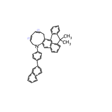 CC1(C)c2ccccc2-c2c3c(cc4cccc1c24)N(c1ccc(-c2ccc4ccccc4c2)cc1)C/C=C\C=C/C3